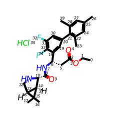 CCOC(=O)C[C@H](NC(=O)[C@H]1NC[C@H]2[C@@H]1C2(C)C)c1cc(-c2c(C)cc(C)cc2C)cc(F)c1F.Cl